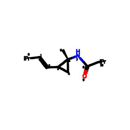 CC(C)/C=C/C1C[C@@]1(C)NC(=O)C(C)C